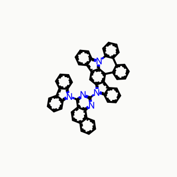 c1ccc2c(c1)-c1ccccc1-n1c3ccccc3c3cc4c(c-2c31)c1ccccc1n4-c1nc(-n2c3ccccc3c3ccccc32)c2ccc3ccccc3c2n1